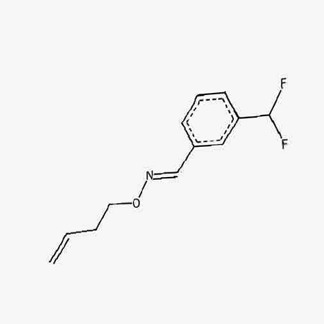 C=CCCON=[C]c1cccc(C(F)F)c1